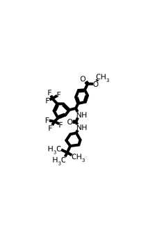 COC(=O)c1ccc(C(NC(=O)NC2CCC(C(C)(C)C)CC2)c2cc(C(F)(F)F)cc(C(F)(F)F)c2)cc1